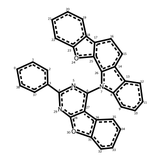 c1ccc(-c2nc(-n3c4ccccc4c4ccc5c6ccccc6oc5c43)c3c(n2)oc2ccccc23)cc1